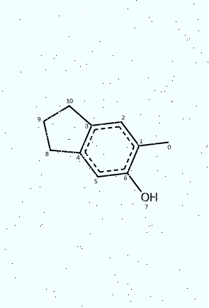 Cc1cc2c(cc1O)CCC2